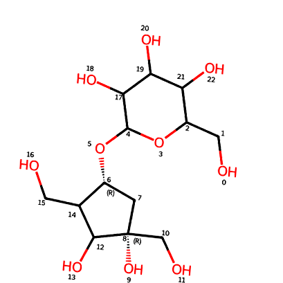 OCC1OC(O[C@@H]2C[C@@](O)(CO)C(O)C2CO)C(O)C(O)C1O